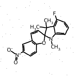 CN1c2cccc(F)c2C(C)(C)C12C=Cc1cc([N+](=O)[O-])ccc1O2